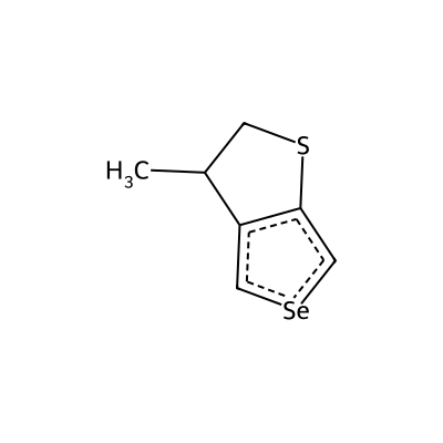 CC1CSc2c[se]cc21